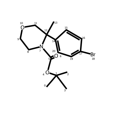 CC(C)(C)OC(=O)N1CCOCC1(C)c1ccc(Br)cc1